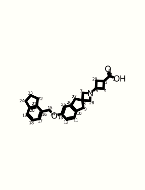 O=C(O)C1CC(N2CC3(Cc4ccc(OCc5cccc6c5CCC6)cc4C3)C2)C1